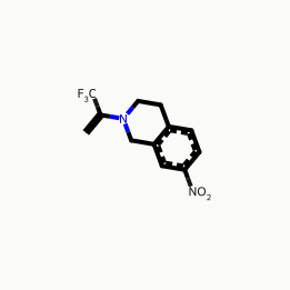 C=C(N1CCc2ccc([N+](=O)[O-])cc2C1)C(F)(F)F